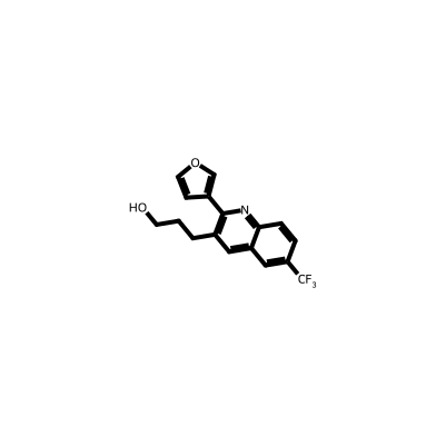 OCCCc1cc2cc(C(F)(F)F)ccc2nc1-c1ccoc1